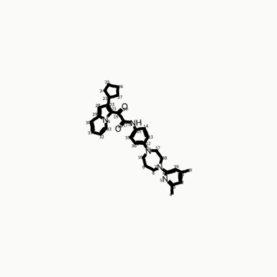 Cc1cc(C)nc(N2CCCN(c3ccc(NC(=O)C(=O)c4c(C5CCCC5)cc5ccccn45)cc3)CC2)c1